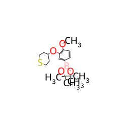 COc1ccc(B2OC(C)(C)C(C)(C)O2)cc1OC1CCSCC1